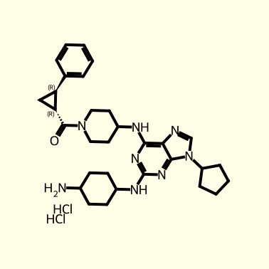 Cl.Cl.NC1CCC(Nc2nc(NC3CCN(C(=O)[C@@H]4C[C@H]4c4ccccc4)CC3)c3ncn(C4CCCC4)c3n2)CC1